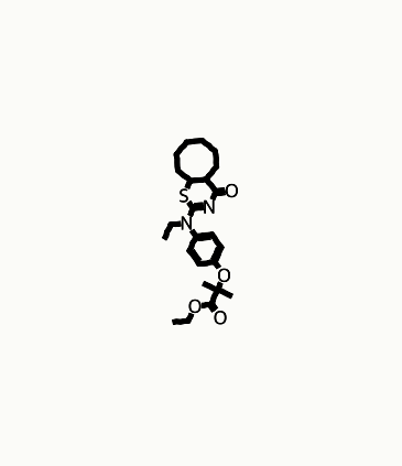 CCOC(=O)C(C)(C)Oc1ccc(N(CC)C2=NC(=O)C3CCCCCCC3S2)cc1